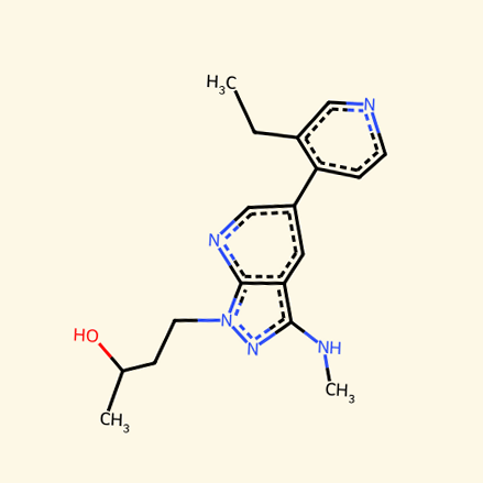 CCc1cnccc1-c1cnc2c(c1)c(NC)nn2CCC(C)O